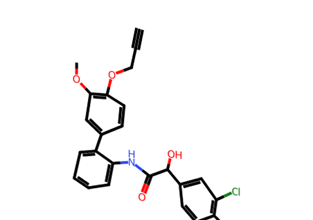 C#CCOc1ccc(-c2ccccc2NC(=O)C(O)c2ccc(Cl)c(Cl)c2)cc1OC